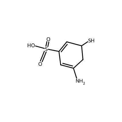 NC1=CC(S(=O)(=O)O)=CC(S)C1